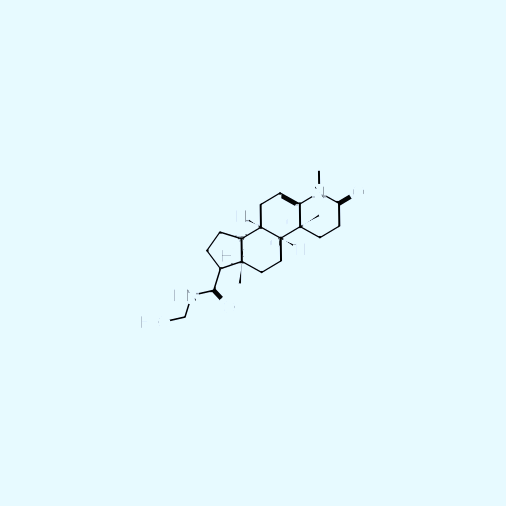 CN1C(=O)CC[C@@]2(C)C1=CC[C@@H]1[C@H]2CC[C@]2(C)C(C(=O)NCC(F)(F)F)CC[C@@H]12